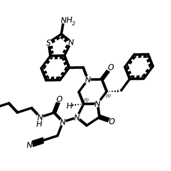 CCCCNC(=O)N(CC#N)N1CC(=O)N2[C@@H](Cc3ccccc3)C(=O)N(Cc3cccc4sc(N)nc34)C[C@@H]21